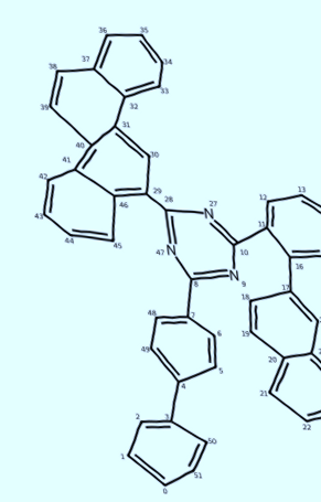 c1ccc(-c2ccc(-c3nc(-c4ccccc4-c4ccc5ccccc5c4)nc(-c4cc5c6ccccc6ccc5c5ccccc45)n3)cc2)cc1